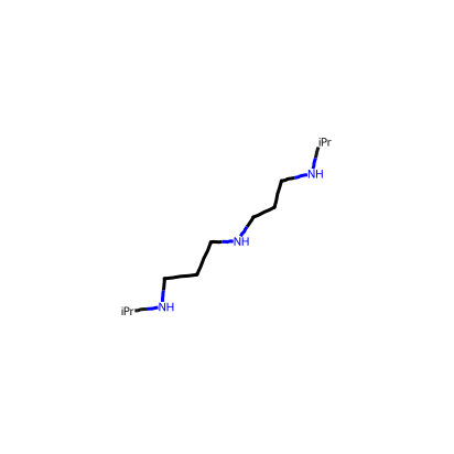 CC(C)NCCCNCCCNC(C)C